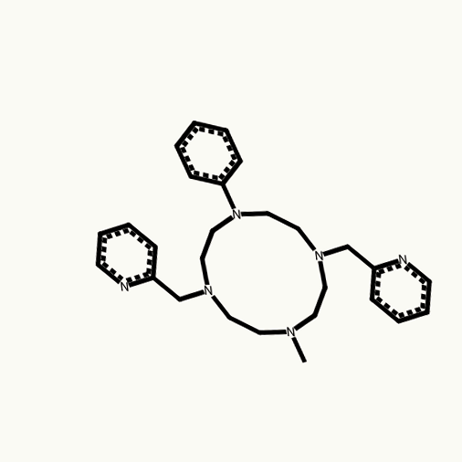 CN1CCN(Cc2ccccn2)CCN(c2ccccc2)CCN(Cc2ccccn2)CC1